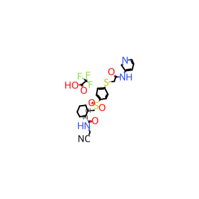 N#CCNC(=O)[C@@H]1CCCC[C@H]1CS(=O)(=O)c1ccc(SCC(=O)Nc2cccnc2)cc1.O=C(O)C(F)(F)F